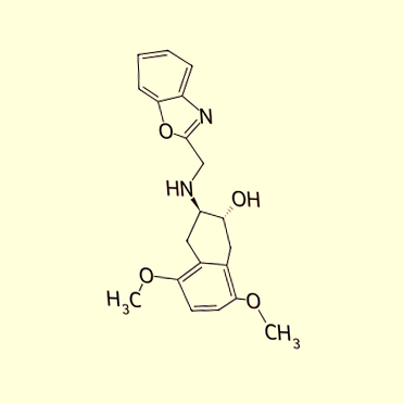 COc1ccc(OC)c2c1C[C@@H](O)[C@H](NCc1nc3ccccc3o1)C2